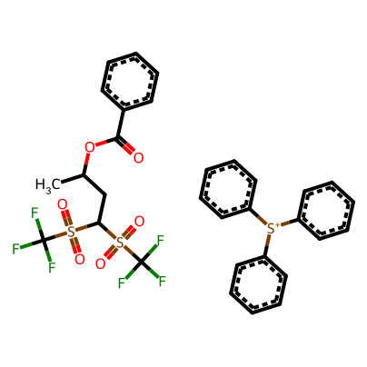 CC(CC(S(=O)(=O)C(F)(F)F)S(=O)(=O)C(F)(F)F)OC(=O)c1ccccc1.c1ccc([S+](c2ccccc2)c2ccccc2)cc1